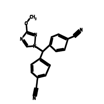 COc1ncn(C(c2ccc(C#N)cc2)c2ccc(C#N)cc2)n1